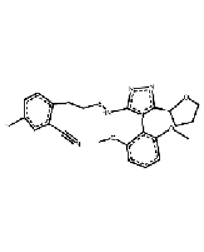 COc1cccc(OC)c1-n1c(NSCCc2ccc(F)cc2C#N)nnc1[C@@H]1CCCO1